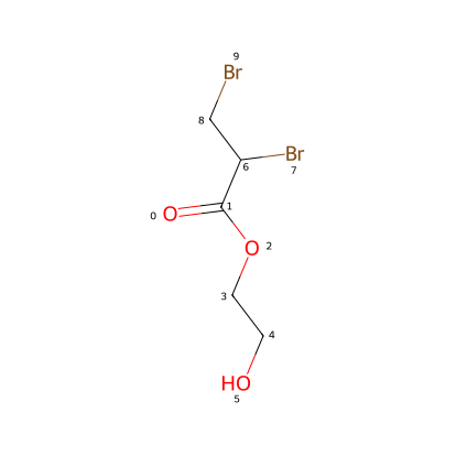 O=C(OCCO)C(Br)CBr